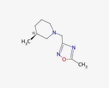 Cc1nc(CN2CCC[C@H](C)C2)no1